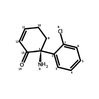 N[C@]1(c2ccccc2Cl)CCC=CC1=O